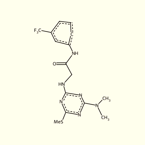 CSc1nc(NCC(=O)Nc2cccc(C(F)(F)F)c2)nc(N(C)C)n1